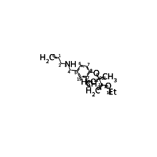 C=CCNCc1ccc(OC(C)(C)C(=C)OCC)c(C)c1